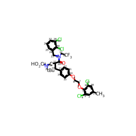 Cc1cc(Cl)c(OCCOc2ccc(CC(CN(C(=O)O)C(C)(C)C)C(=O)N(Cc3cccc(Cl)c3Cl)CC(F)(F)F)cc2)c(Cl)c1